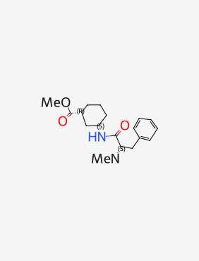 CN[C@@H](Cc1ccccc1)C(=O)N[C@H]1CCC[C@@H](C(=O)OC)C1